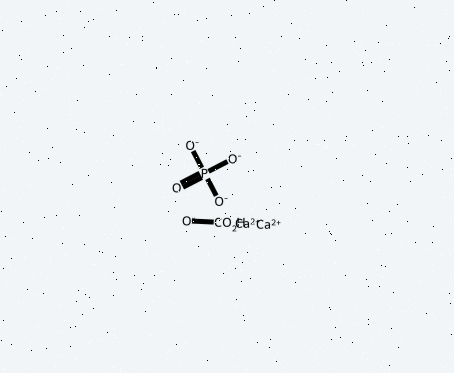 O=C([O-])O.O=P([O-])([O-])[O-].[Ca+2].[Ca+2]